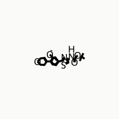 COc1cc(-c2nc(NC(=O)OC(C)(C)C)cs2)ccc1C1=CCOCC1